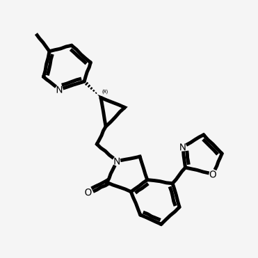 Cc1ccc([C@@H]2CC2CN2Cc3c(cccc3-c3ncco3)C2=O)nc1